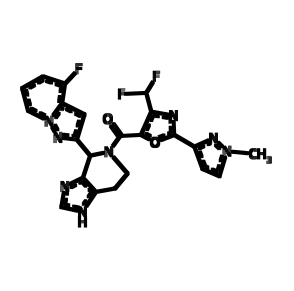 Cn1ccc(-c2nc(C(F)F)c(C(=O)N3CCc4[nH]cnc4C3c3cc4c(F)cccn4n3)o2)n1